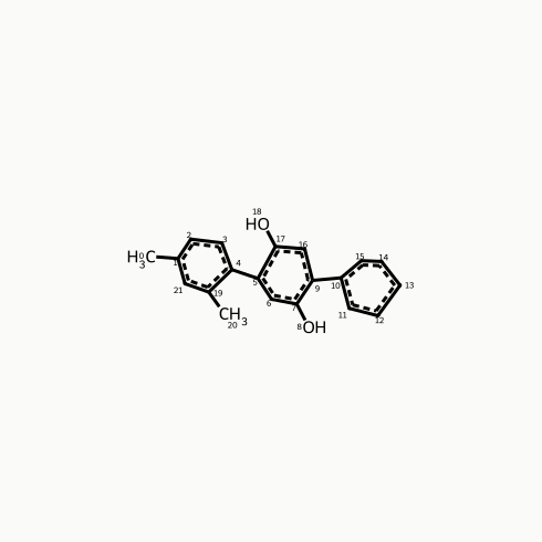 Cc1ccc(-c2cc(O)c(-c3ccccc3)cc2O)c(C)c1